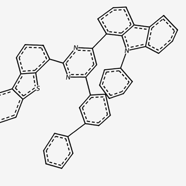 c1ccc(-c2cccc(-c3cc(-c4cccc5c6ccccc6n(-c6ccccc6)c45)nc(-c4cccc5c4sc4ccccc45)n3)c2)cc1